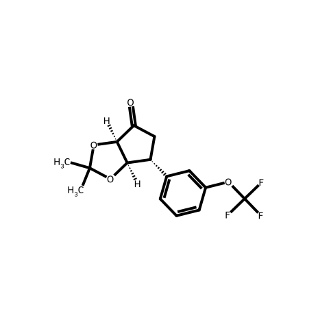 CC1(C)O[C@@H]2[C@@H](c3cccc(OC(F)(F)F)c3)CC(=O)[C@@H]2O1